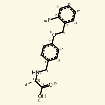 C[C@H](NCc1ccc(OCc2ccccc2F)cc1)C(=O)O